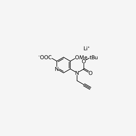 C#CCN(C(=O)OC(C)(C)C)c1cnc(C(=O)[O-])cc1OC.[Li+]